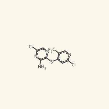 Nc1nc(Cl)cnc1Sc1cc(Cl)ncc1C(F)(F)F